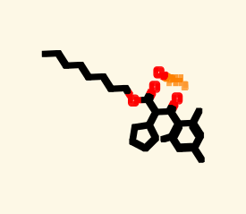 CCCCCCCCOC(=O)C(C(=O)c1c(C)cc(C)cc1C)C1CCCC1.O=[PH3]